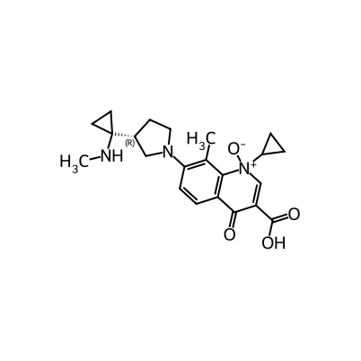 CNC1([C@@H]2CCN(c3ccc4c(c3C)[N+]([O-])(C3CC3)C=C(C(=O)O)C4=O)C2)CC1